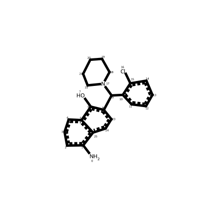 Nc1cccc2c(O)c(C(c3ccccc3Cl)N3CCCCC3)ccc12